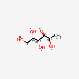 C[C@@H](O)C(=O)[C@H](O)[C@@H](O)CO